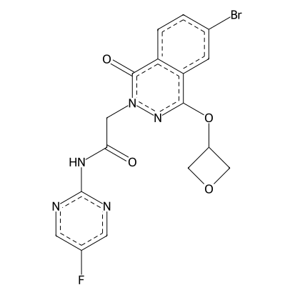 O=C(Cn1nc(OC2COC2)c2cc(Br)ccc2c1=O)Nc1ncc(F)cn1